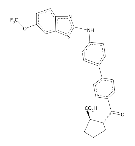 O=C(O)[C@@H]1CCC[C@H]1C(=O)c1ccc(-c2ccc(Nc3nc4ccc(OC(F)(F)F)cc4s3)cc2)cc1